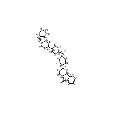 CN1c2ccccc2C2CC(C3CCC(N(C)C4CCC(C5CCC6OC7CCCCC7C6C5)CC4)CC3)CCC21